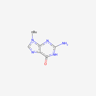 [CH2]CCCn1cnc2c(=O)[nH]c(N)nc21